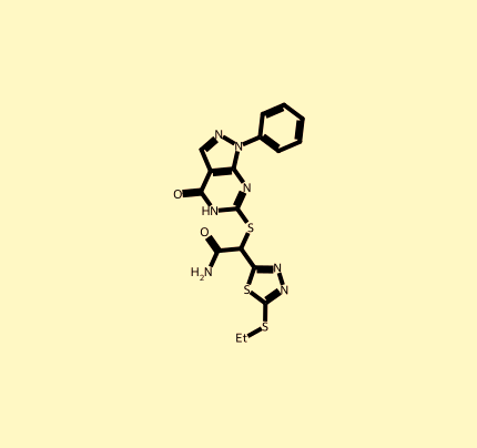 CCSc1nnc(C(Sc2nc3c(cnn3-c3ccccc3)c(=O)[nH]2)C(N)=O)s1